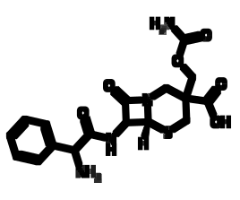 NC(=O)OCC1(C(=O)O)CS[C@@H]2C(NC(=O)C(N)c3ccccc3)C(=O)N2C1